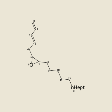 C=CC=CCC1OC1CCCCCCCCCCCC